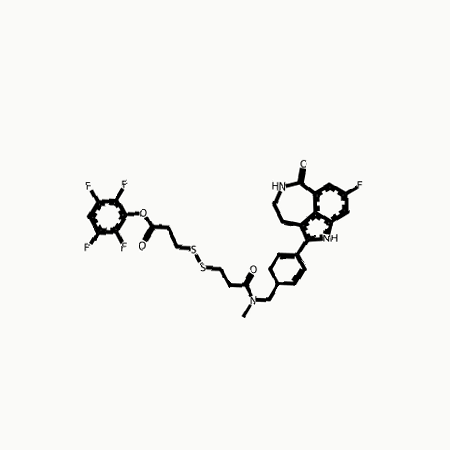 CN(CC1C=CC(c2[nH]c3cc(F)cc4c3c2CCNC4=O)=CC1)C(=O)CCSSCCC(=O)Oc1c(F)c(F)cc(F)c1F